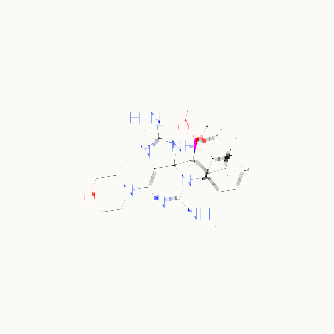 COc1ccccc1N1C(N)=NC(N2CCOCC2)=C2N=C(N)NC21c1ccccc1OC